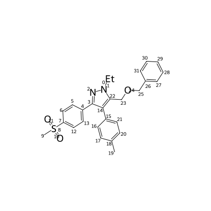 CCn1nc(-c2ccc(S(C)(=O)=O)cc2)c(-c2ccc(C)cc2)c1COCc1ccccc1